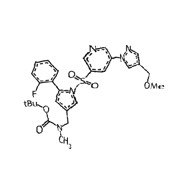 COCc1cnn(-c2cncc(S(=O)(=O)n3cc(CN(C)C(=O)OC(C)(C)C)cc3-c3ccccc3F)c2)c1